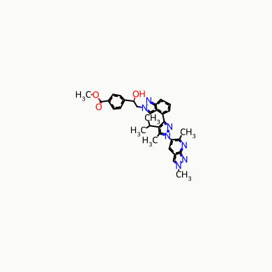 COC(=O)c1ccc([C@@H](O)Cn2cc3c(-c4nn(-c5cc6cn(C)nc6nc5C)c(C)c4C(C)C)cccc3n2)cc1